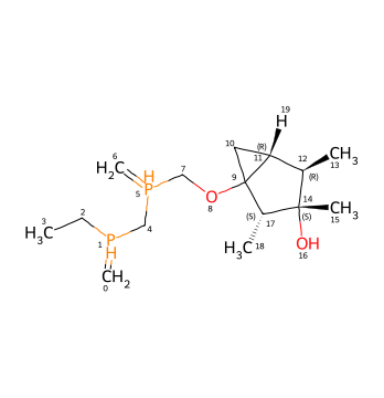 C=[PH](CC)C[PH](=C)COC12C[C@@H]1[C@@H](C)[C@](C)(O)[C@@H]2C